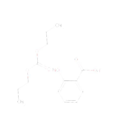 CCCOC(=O)OCCC.O=C(O)c1ccccc1O